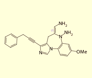 COc1ccc2c(c1)N(N)/C(=C\N)Cc1c(C#CCc3ccccc3)ncn1-2